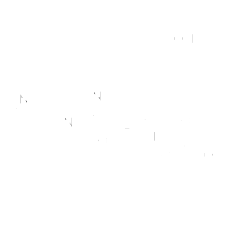 CC(C)(C)OC(=O)OC1C(CO)OC(n2ccc(N)nc2=O)C1(F)F